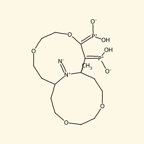 CC12CCOCCOCCC(CCOCCOC(=[P+](\[O-])O)/C1=[P+](/[O-])O)[N+]2=[N-]